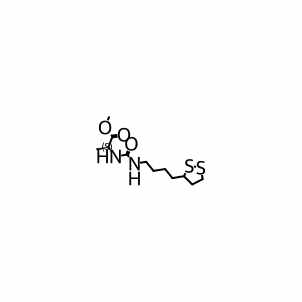 COC(=O)[C@H](C)NC(=O)NCCCCC1CCSS1